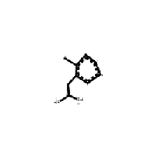 Cc1ccccc1CC(S)S